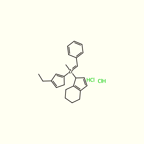 CCC1=CC[C]([Zr]([CH3])(=[CH]c2ccccc2)[CH]2C=CC3=C2CCCC3)=C1.Cl.Cl